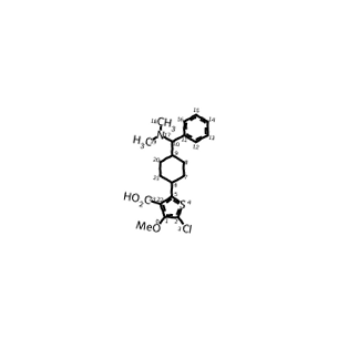 COc1c(Cl)sc(C2CCC(C(c3ccccc3)N(C)C)CC2)c1C(=O)O